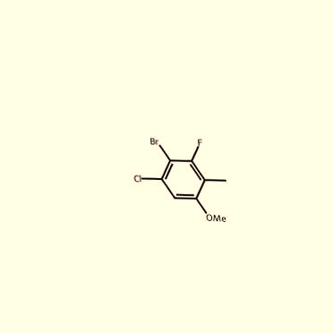 COc1cc(Cl)c(Br)c(F)c1C